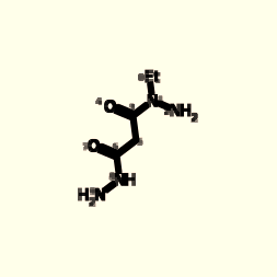 CCN(N)C(=O)CC(=O)NN